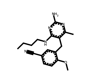 CCCCNc1nc(N)nc(C)c1Cc1cc(C#N)ccc1OC